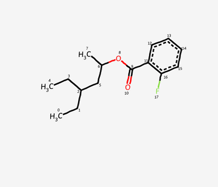 CCC(CC)CC(C)OC(=O)c1cc[c]cc1F